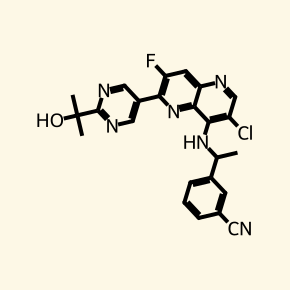 CC(Nc1c(Cl)cnc2cc(F)c(-c3cnc(C(C)(C)O)nc3)nc12)c1cccc(C#N)c1